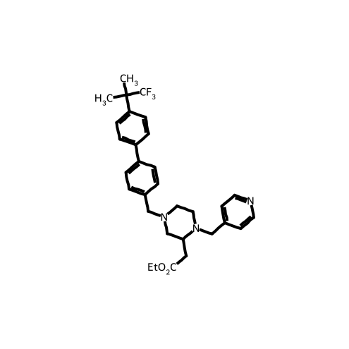 CCOC(=O)CC1CN(Cc2ccc(-c3ccc(C(C)(C)C(F)(F)F)cc3)cc2)CCN1Cc1ccncc1